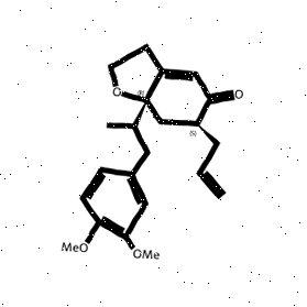 C=CC[C@H]1C[C@]2(C(C)Cc3ccc(OC)c(OC)c3)OCCC2=CC1=O